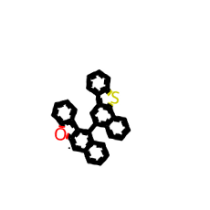 [c]1c2ccccc2c(-c2cc3c4ccccc4sc3c3ccccc23)c2c1oc1ccccc12